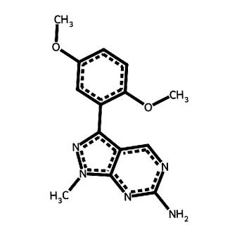 COc1ccc(OC)c(-c2nn(C)c3nc(N)ncc23)c1